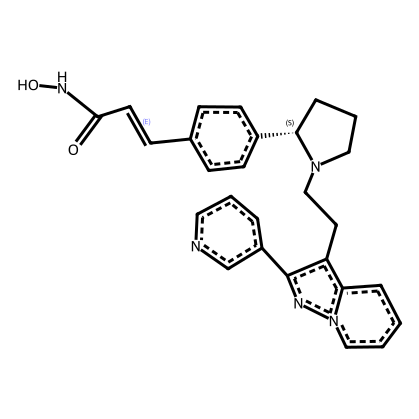 O=C(/C=C/c1ccc([C@@H]2CCCN2CCc2c(-c3cccnc3)nn3ccccc23)cc1)NO